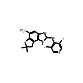 CC1(C)Cc2c3c(cc(C(=O)O)c2O1)NC(Nc1c(Cl)cncc1Cl)N3